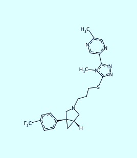 Cc1cnc(-c2nnc(SCCCN3C[C@@H]4C[C@]4(c4ccc(C(F)(F)F)cc4)C3)n2C)cn1